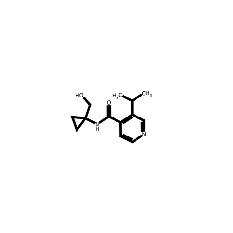 CC(C)c1cnccc1C(=O)NC1(CO)CC1